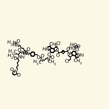 Cc1c[nH]c2c(OP(=O)(O)O)cc3c(c12)C(CCl)CN3C(=O)C12CC(C(=O)N3C[C@@H](CCl)c4c3cc(OC(=O)N(C)CCN(C)C(=O)OCc3ccc(NC(=O)C(CCCNC(N)=O)NC(=O)C(NC(=O)CCCCCN5C(=O)C=CC5=O)C(C)C)cc3)c3[nH]cc(C)c43)(C1)C2